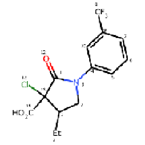 CCC1CN(c2cccc(C(F)(F)F)c2)C(=O)C1(Cl)C(=O)O